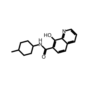 CC1CCC(NC(=O)c2ccc3cccnc3c2O)CC1